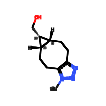 CC(C)(C)n1nnc2c1CC[C@@H]1[C@H](CO)[C@@H]1CC2